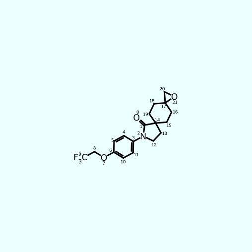 O=C1N(c2ccc(OCC(F)(F)F)cc2)CCC12CCC1(CC2)CO1